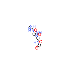 COc1cc(NC(=O)C2CCC(n3c(=O)[nH]c4c(C(=O)NCc5ncc[nH]5)cccc43)CC2)ccc1C